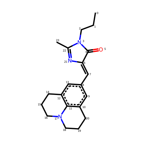 CCCN1C(=O)/C(=C/c2cc3c4c(c2)CCCN4CCC3)N=C1C